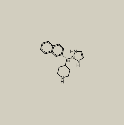 C1=CNN([C@@H](c2ccc3ccccc3c2)C2CCNCC2)N1